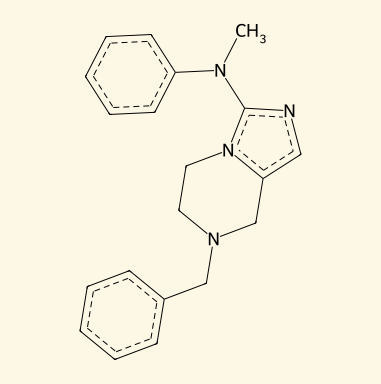 CN(c1ccccc1)c1ncc2n1CCN(Cc1ccccc1)C2